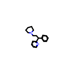 c1ccc(C(CCN2CCCCC2)c2ccccn2)cc1